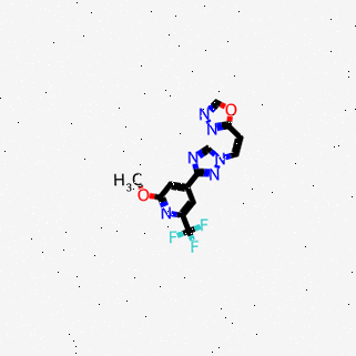 COc1cc(-c2ncn(/C=C\c3nnco3)n2)cc(C(F)(F)F)n1